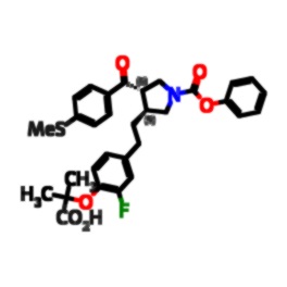 CSc1ccc(C(=O)[C@@H]2CN(C(=O)Oc3ccccc3)C[C@H]2CCc2ccc(OC(C)(C)C(=O)O)c(F)c2)cc1